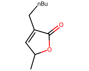 CCCCCC1=CC(C)OC1=O